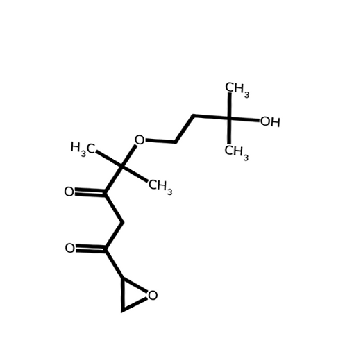 CC(C)(O)CCOC(C)(C)C(=O)CC(=O)C1CO1